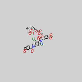 CC(=O)OCC(COC(=O)OC(C)OC(=O)[C@H](Cc1cccc(S(C)(=O)=O)c1)NC(=O)c1c(Cl)cc2c(c1Cl)CCN(C(=O)c1ccc3ccoc3c1)C2)COC(C)O